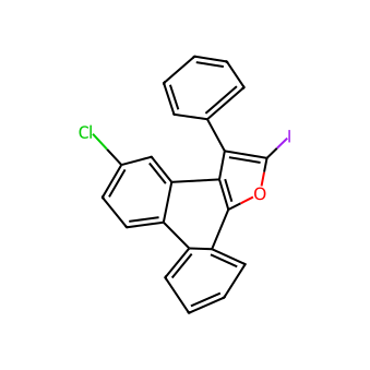 Clc1ccc2c3ccccc3c3oc(I)c(-c4ccccc4)c3c2c1